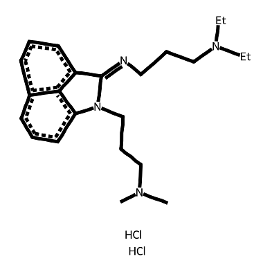 CCN(CC)CCCN=C1c2cccc3cccc(c23)N1CCCN(C)C.Cl.Cl